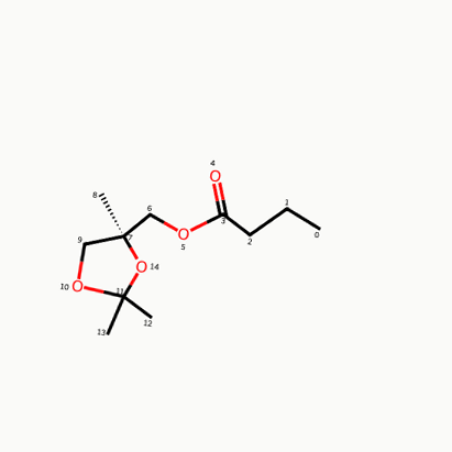 CCCC(=O)OC[C@]1(C)COC(C)(C)O1